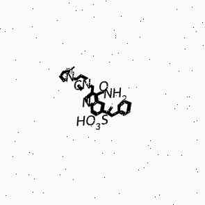 C[C@@H]1CCCN1C1CCN(Cc2cnc3ccc(C(C)(Cc4ccccc4)S(=O)(=O)O)cc3c2C(N)=O)CC1